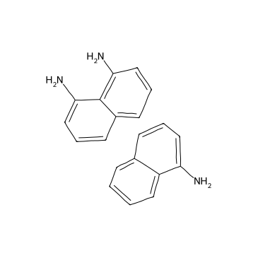 Nc1cccc2cccc(N)c12.Nc1cccc2ccccc12